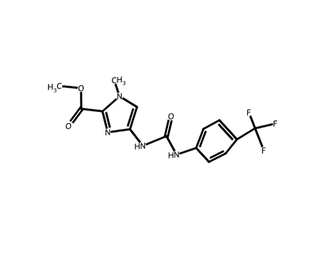 COC(=O)c1nc(NC(=O)Nc2ccc(C(F)(F)F)cc2)cn1C